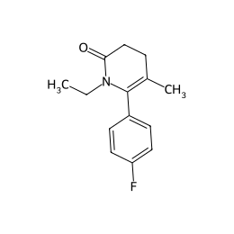 CCN1C(=O)CCC(C)=C1c1ccc(F)cc1